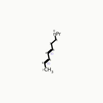 [CH2]CCCC/C=C/C=C/C